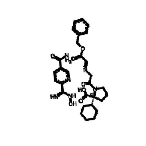 N=C(NO)c1ccc(C(N)=O)cn1.O=C(C=NCC(=O)N1CCC[C@]1(C(=O)O)C1CCCCC1)OCc1ccccc1